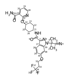 CC(C)(C#N)n1nc(C(=O)N[C@H]2CC[C@H](Oc3ncccc3C(N)=O)CC2)c2ccc(OCCC(F)(F)F)cc21